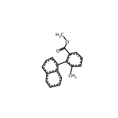 COC(=O)c1cccc(C)c1-c1cccc2ccccc12